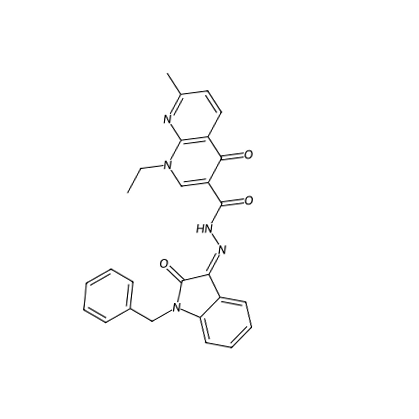 CCn1cc(C(=O)NN=C2C(=O)N(Cc3ccccc3)c3ccccc32)c(=O)c2ccc(C)nc21